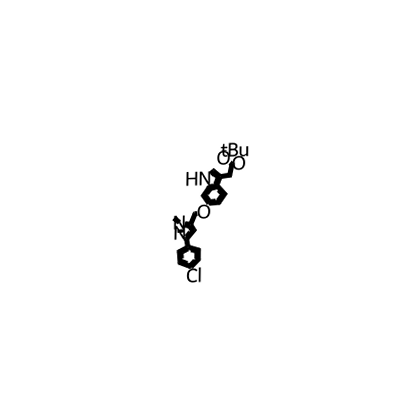 Cn1nc(-c2ccc(Cl)cc2)cc1COc1ccc2c(CC(=O)OC(C)(C)C)c[nH]c2c1